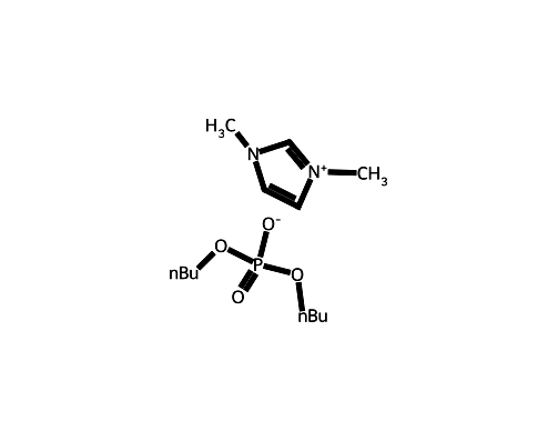 CCCCOP(=O)([O-])OCCCC.Cn1cc[n+](C)c1